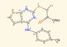 COC(=O)C(C)Sc1nc(Nc2ccc(C#N)cc2)c2ccsc2n1